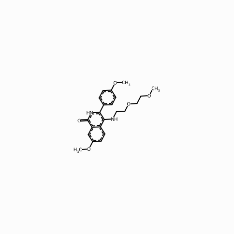 COCCOCCNc1c(-c2ccc(OC)cc2)[nH]c(=O)c2cc(OC)ccc12